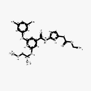 CCOC(=O)Cc1csc(NC(=O)c2cc(Oc3cc(F)cc(F)c3)nc(O[C@H](C)COC)c2)n1